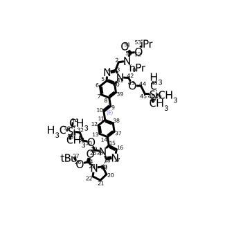 CCCN(Cc1nc2ccc(/C=C/c3ccc(-c4cnc([C@@H]5CCCN5C(=O)OC(C)(C)C)n4COCC[Si](C)(C)C)cc3)cc2n1COCC[Si](C)(C)C)C(=O)OC(C)C